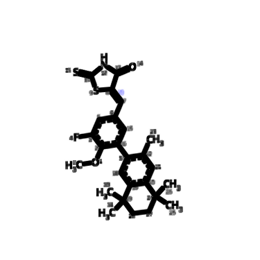 COc1c(F)cc(/C=C2\SC(=S)NC2=O)cc1-c1cc2c(cc1C)C(C)(C)CCC2(C)C